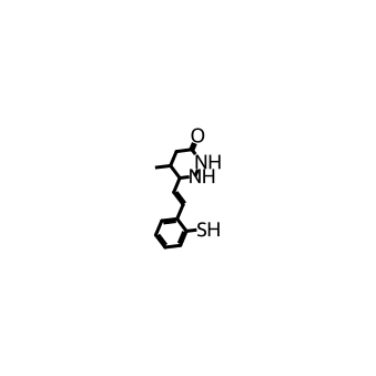 CC1CC(=O)NNC1/C=C/c1ccccc1S